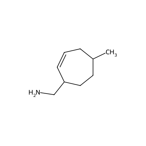 CC1CC=CC(CN)CC1